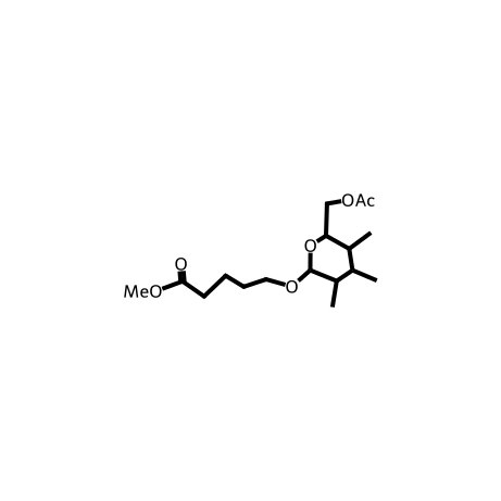 COC(=O)CCCCOC1OC(COC(C)=O)C(C)C(C)C1C